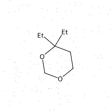 CCC1(CC)CCOCO1